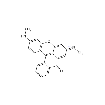 C/N=c1\ccc2c(-c3ccccc3C=O)c3ccc(NC)cc3oc-2c1